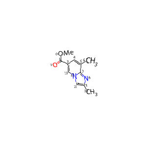 COC(=O)c1cc(C)c2nc(C)cn2c1